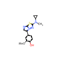 COc1cc(-c2cnc3sc(N(C)C4CC4)nn23)ccc1O